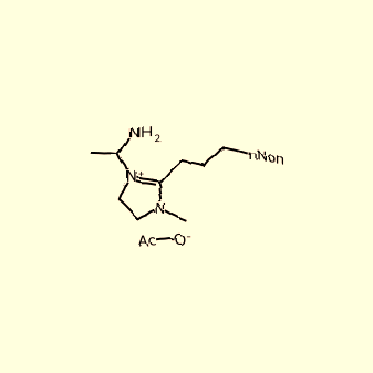 CC(=O)[O-].CCCCCCCCCCCCC1=[N+](C(C)N)CCN1C